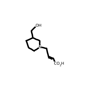 O=C(O)/C=C/CN1CCCC(CO)C1